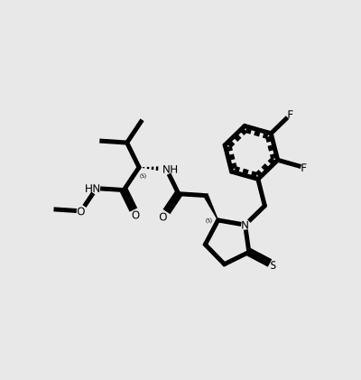 CONC(=O)[C@@H](NC(=O)C[C@@H]1CCC(=S)N1Cc1cccc(F)c1F)C(C)C